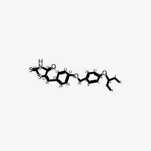 CCC(CC)Oc1ccc(COc2ccc(C=C3SC(=S)NC3=O)cc2)cc1